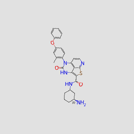 Cc1cc(Oc2ccccc2)ccc1N1C(=O)Nc2c(C(=O)NC3CCC[C@H](N)C3)sc3nccc1c23